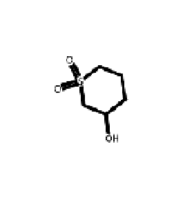 O=S1(=O)CC[CH]C(O)C1